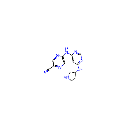 N#Cc1cnc(Nc2cc(NC3CCNC3)ncn2)cn1